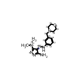 CN(C)C1=NN=C(N)/C1=N\Nc1cccc(CN2CCOCC2)c1